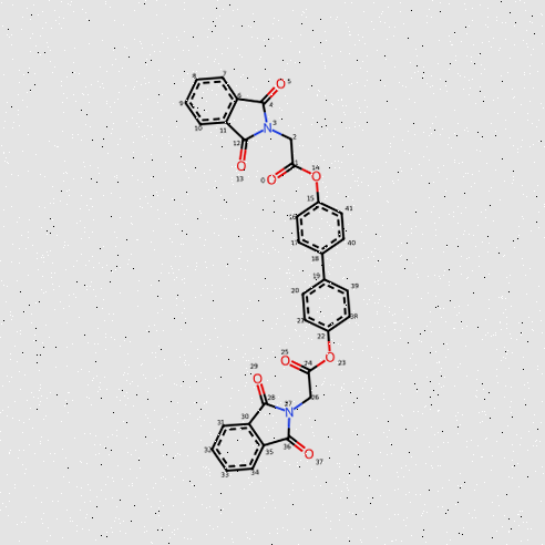 O=C(CN1C(=O)c2ccccc2C1=O)Oc1ccc(-c2ccc(OC(=O)CN3C(=O)c4ccccc4C3=O)cc2)cc1